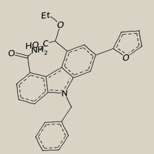 CCOC(C(=O)O)c1cc(-c2ccco2)cc2c1c1c(C(N)=O)cccc1n2Cc1ccccc1